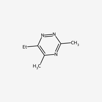 CCc1nnc(C)nc1C